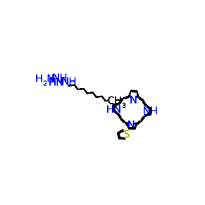 C1=Cc2cc3ccc(cc4nc(cc5ccc(cc1n2)[nH]5)C=C4)[nH]3.CCCCCCCCCCNNNN.c1ccsc1